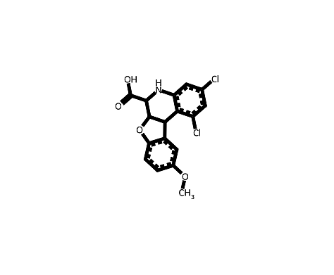 COc1ccc2c(c1)C1c3c(Cl)cc(Cl)cc3NC(C(=O)O)C1O2